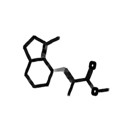 COC(=O)/C(C)=C/[C@@H]1CCCC2CCC(C)=C21